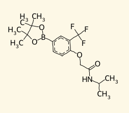 CC(C)NC(=O)COc1ccc(B2OC(C)(C)C(C)(C)O2)cc1C(F)(F)F